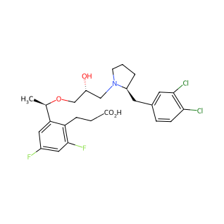 C[C@@H](OC[C@H](O)CN1CCC[C@H]1Cc1ccc(Cl)c(Cl)c1)c1cc(F)cc(F)c1CCC(=O)O